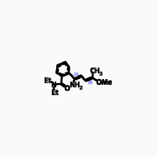 CCN(CC)C(=O)c1ccccc1/C(N)=C/C=C(\C)OC